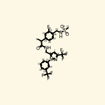 CC(C(=O)NCc1cc(C(F)(F)F)nn1-c1cccc(C(F)(F)F)c1)c1ccc(CNS(C)(=O)=O)c(F)c1